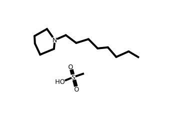 CCCCCCCCN1CCCCC1.CS(=O)(=O)O